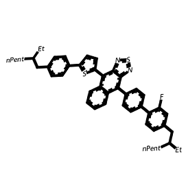 CCCCCC(CC)Cc1ccc(-c2ccc(-c3c4ccccc4c(-c4ccc(-c5ccc(CC(CC)CCCCC)cc5F)cc4)c4nsnc34)s2)cc1